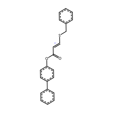 O=C(/C=C/SCc1ccccc1)Oc1ccc(-c2ccccc2)cc1